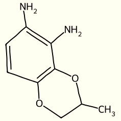 CC1COc2ccc(N)c(N)c2O1